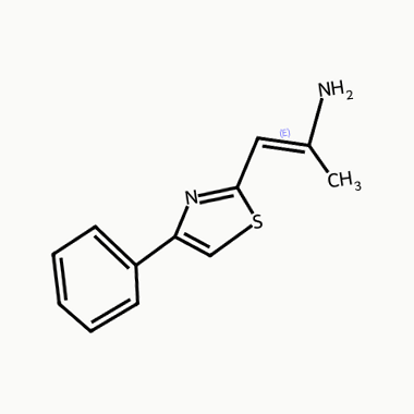 C/C(N)=C\c1nc(-c2ccccc2)cs1